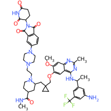 CNC(=O)C1CCN(CCN2CCN(c3ccc4c(c3)C(=O)N(C3CCC(=O)NC3=O)C4=O)CC2)C(CC2(COc3cc4c(NC(C)c5cc(N)cc(C(F)(F)F)c5)nc(C)nc4cc3OC)CC2)C1